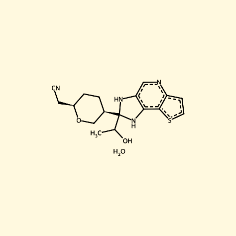 CC(O)C1([C@@H]2CC[C@H](CC#N)OC2)Nc2cnc3ccsc3c2N1.O